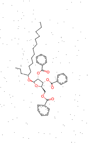 CCCCCCCCCCCCC(CCC)O[C@@H]1O[C@H](COC(=O)c2ccccc2)[C@@H](OC(=O)c2ccccc2)[C@H]1OC(=O)c1ccccc1